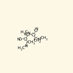 C=C/N=C\C=C(/C)c1cc(-c2ccncc2)cc(-c2cc(-c3cc(/C(C=C)=C/C=N\C=C)cc(-c4ccncc4)c3)nc(C)n2)c1